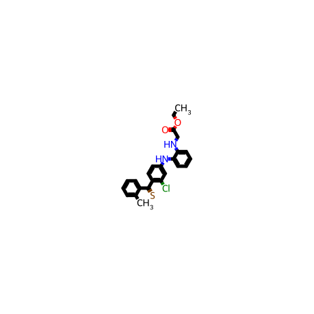 CCOC(=O)CNc1ccccc1Nc1ccc(C(=S)c2ccccc2C)c(Cl)c1